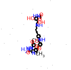 COc1cccc(Nc2c(C(N)=O)cnc3c(C)cc(S(=O)(=O)c4cccc(C(=O)Nc5ccc(C#CCCCNC[C@H](O)c6cc(O)cc7c6OCC(=O)N7)cc5)c4)cc23)c1